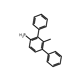 Cc1c(-c2ccccc2)ccc(P)c1-c1ccccc1